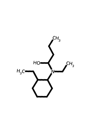 CCCC(O)N(CC)C1CCCCC1CC